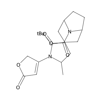 CC1CC2(CC3CCC(C2)N3C(=O)OC(C)(C)C)C(=O)N1C1=CC(=O)OC1